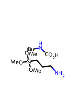 CCC(C)NC(=O)O.CO[Si](CCCN)(OC)OC